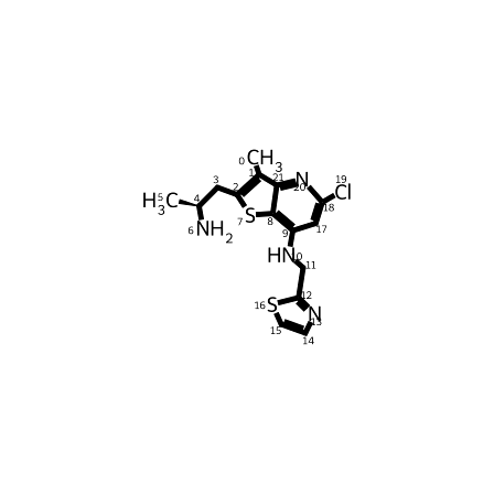 Cc1c(C[C@H](C)N)sc2c(NCc3nccs3)cc(Cl)nc12